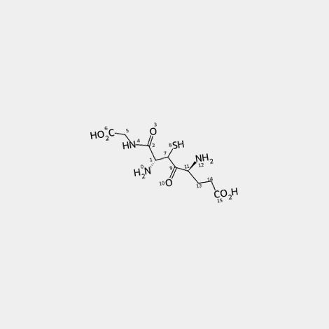 N[C@H](C(=O)NCC(=O)O)C(S)C(=O)[C@@H](N)CCC(=O)O